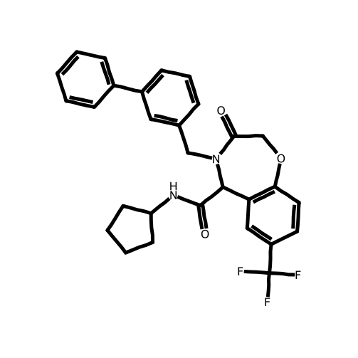 O=C(NC1CCCC1)C1c2cc(C(F)(F)F)ccc2OCC(=O)N1Cc1cccc(-c2ccccc2)c1